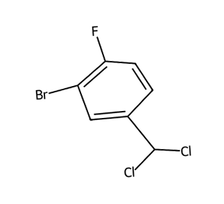 Fc1ccc(C(Cl)Cl)cc1Br